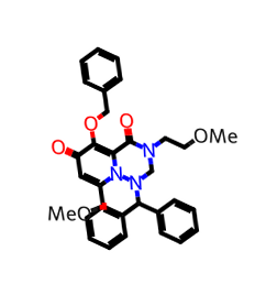 COCCN1CN(C(c2ccccc2)c2ccccc2)n2c(COC)cc(=O)c(OCc3ccccc3)c2C1=O